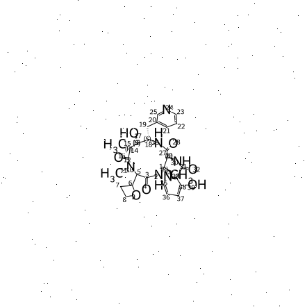 C[C@H]1NC(=O)C(C2CCO2)N(C)C(=O)[C@H](C)[C@H](O)[C@H](Cc2cccnc2)NC(=O)[C@H]1NC(=O)c1ncccc1O